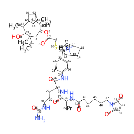 C=CC1(C)CC(OC(=O)CSC2CC3CCC(C2)[N+]3(C)Cc2ccc(NC(=O)C(CCCNC(N)=O)NC(=O)C(NC(=O)CCCCCN3C(=O)C=CC3=O)C(C)C)cc2)C(C)(C(C)C)C2C3CCC2(C3)C(C)C1O